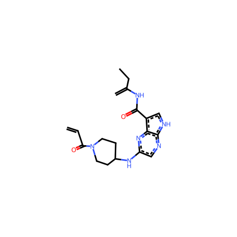 C=CC(=O)N1CCC(Nc2cnc3[nH]cc(C(=O)NC(=C)CC)c3n2)CC1